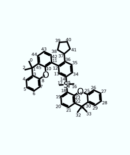 CC1(C)c2ccccc2Oc2c(-c3cc([Si](C)(C)c4cccc5c4Oc4ccccc4C5(C)C)ccc3C3CCCC3)cccc21